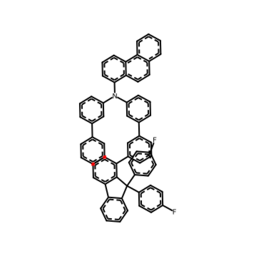 Fc1ccc(C2(c3ccc(F)cc3)c3ccccc3-c3cccc(-c4cccc(-c5cccc(N(c6cccc(-c7ccccc7)c6)c6cccc7c6ccc6ccccc67)c5)c4)c32)cc1